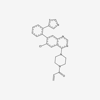 C=CC(=O)N1CCN(c2ncnc3cc(-c4ccccc4-c4cncs4)c(Cl)cc23)CC1